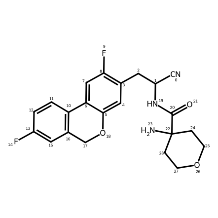 N#CC(Cc1cc2c(cc1F)-c1ccc(F)cc1CO2)NC(=O)C1(N)CCOCC1